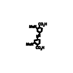 CNc1cc(N=Nc2ccc(C(=O)O)c(NC)c2)ccc1C(=O)O